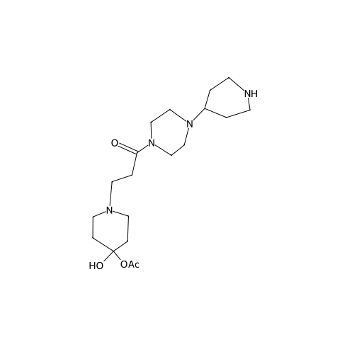 CC(=O)OC1(O)CCN(CCC(=O)N2CCN(C3CCNCC3)CC2)CC1